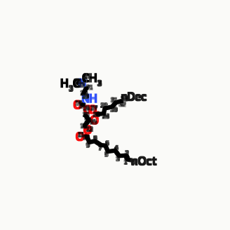 CCCCCCCCC=CCCCCCCCC(=O)OCC(COC(=O)NCCN(C)C)OC(=O)CCCCCCCCCCCCCCC